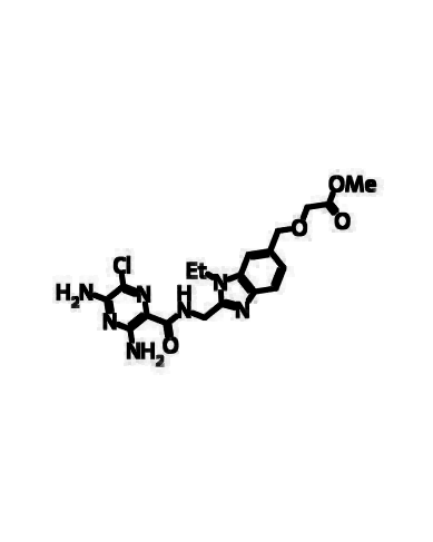 CCn1c(CNC(=O)c2nc(Cl)c(N)nc2N)nc2ccc(COCC(=O)OC)cc21